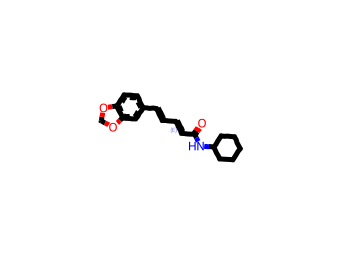 O=C(/C=C/C=Cc1ccc2c(c1)OCO2)NC1CCCCC1